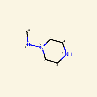 C[N]N1CCNCC1